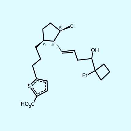 CCC1(C(O)CC=C[C@@H]2[C@@H](CCCc3ccc(C(=O)O)s3)CC[C@H]2Cl)CCC1